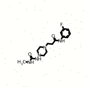 CNC(=O)NN1CCN(CCC(=O)Nc2cccc(F)c2)CC1